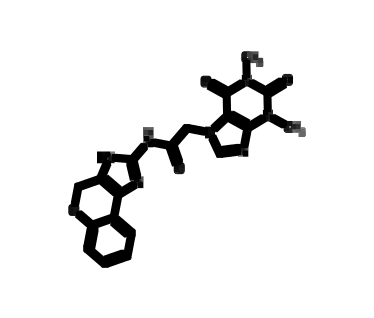 Cn1c(=O)c2c(ncn2CC(=O)Nc2nc3c([nH]2)COc2ccccc2-3)n(C)c1=O